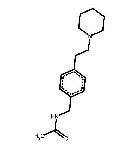 CC(=O)NCc1ccc(CCN2CCCCC2)cc1